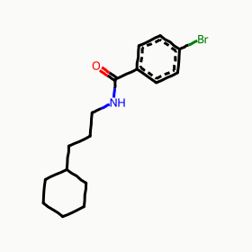 O=C(NCCCC1CCCCC1)c1ccc(Br)cc1